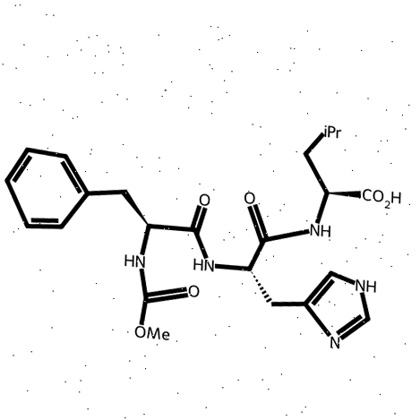 COC(=O)N[C@@H](Cc1ccccc1)C(=O)N[C@@H](Cc1c[nH]cn1)C(=O)N[C@@H](CC(C)C)C(=O)O